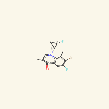 Cc1cn([C@@H]2C[C@@H]2F)c2c(C)c(Br)c(F)cc2c1=O